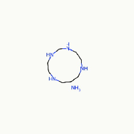 C1CNCCNCNCCNC1.N